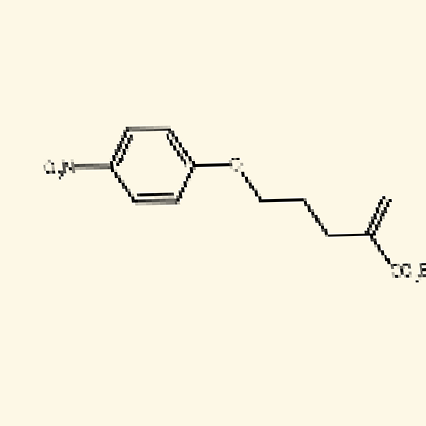 C=C(CCCOc1ccc([N+](=O)[O-])cc1)C(=O)OCC